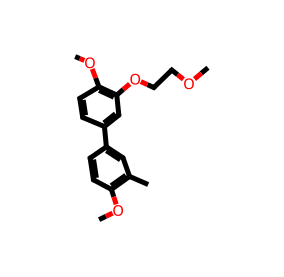 COCCOc1cc(-c2ccc(OC)c(C)c2)ccc1OC